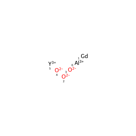 [Al+3].[Gd].[O-2].[O-2].[O-2].[Y+3]